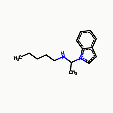 CCCCCNC(C)n1ccc2ccccc21